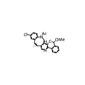 COC(C)c1ccccc1-c1cc2c(cn1)/C=C\c1cc(Cl)ccc1N(C(C)=O)C2